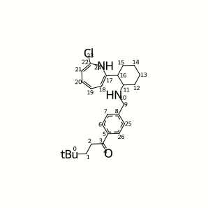 CC(C)(C)CCC(=O)c1ccc(CNC2CCCCC2C2=CC=CC=C(Cl)N2)cc1